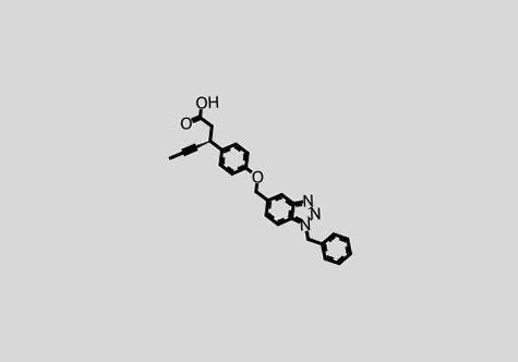 CC#C[C@@H](CC(=O)O)c1ccc(OCc2ccc3c(c2)nnn3Cc2ccccc2)cc1